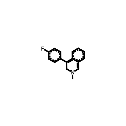 CN1C=c2ccccc2=C(c2ccc(F)cc2)C1